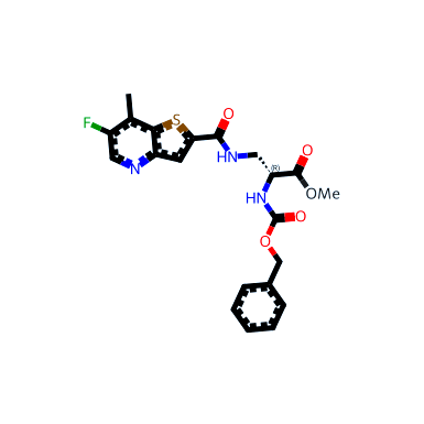 COC(=O)[C@@H](CNC(=O)c1cc2ncc(F)c(C)c2s1)NC(=O)OCc1ccccc1